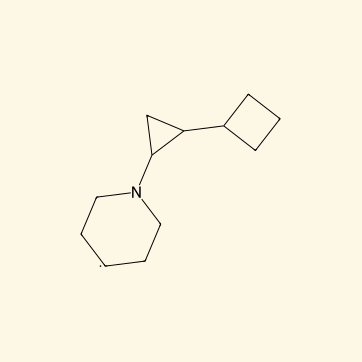 [CH]1CCN(C2CC2C2CCC2)CC1